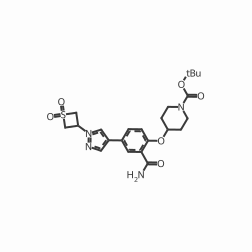 CC(C)(C)OC(=O)N1CCC(Oc2ccc(-c3cnn(C4CS(=O)(=O)C4)c3)cc2C(N)=O)CC1